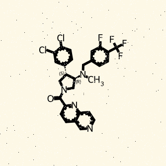 CN(Cc1ccc(C(F)(F)F)c(F)c1)[C@H]1CN(C(=O)c2ccc3cnccc3n2)C[C@@H]1c1ccc(Cl)c(Cl)c1